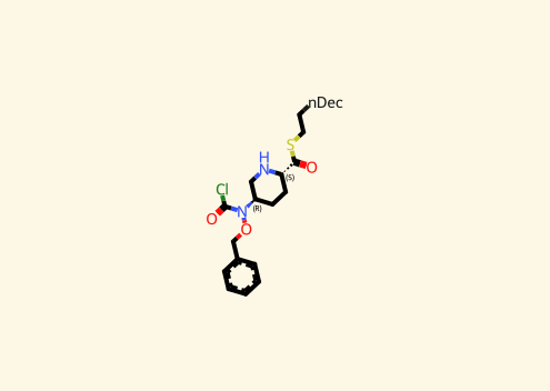 CCCCCCCCCCCCSC(=O)[C@@H]1CC[C@@H](N(OCc2ccccc2)C(=O)Cl)CN1